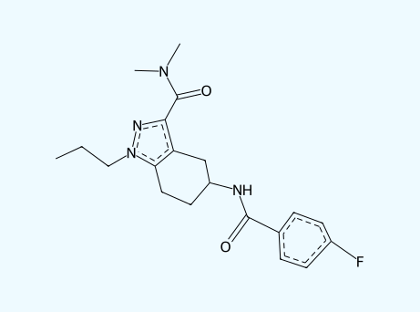 CCCn1nc(C(=O)N(C)C)c2c1CCC(NC(=O)c1ccc(F)cc1)C2